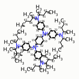 CCCC(C)N(c1ccc([N+](=C2C=CC(=[N+](c3ccc(N(C(C)CCC)C(C)CCC)c(C)c3)c3ccc(N(C(C)CCC)C(C)CCC)c(C)c3)C=C2)c2ccc(N(C(C)CCC)C(C)CCC)cc2)cc1)C(C)CCC